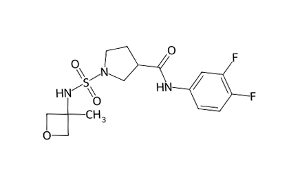 CC1(NS(=O)(=O)N2CCC(C(=O)Nc3ccc(F)c(F)c3)C2)COC1